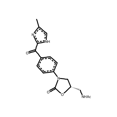 CC(=O)NC[C@H]1CN(c2ccc(C(=O)c3nc(C)c[nH]3)cc2)C(=O)O1